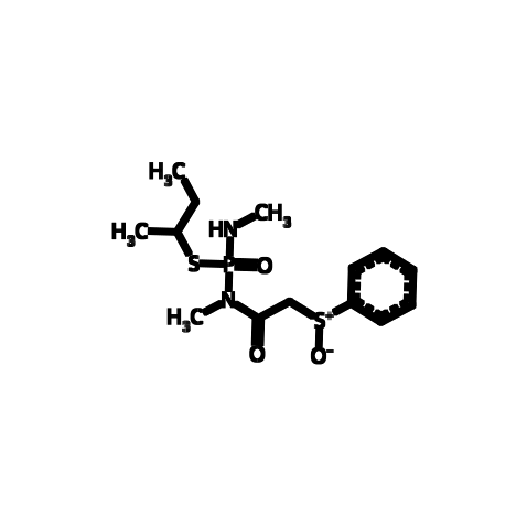 CCC(C)SP(=O)(NC)N(C)C(=O)C[S+]([O-])c1ccccc1